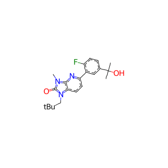 Cn1c(=O)n(CC(C)(C)C)c2ccc(-c3cc(C(C)(C)O)ccc3F)nc21